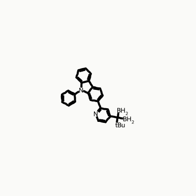 BC(B)(c1ccnc(-c2ccc3c4ccccc4n(-c4ccccc4)c3c2)c1)C(C)(C)C